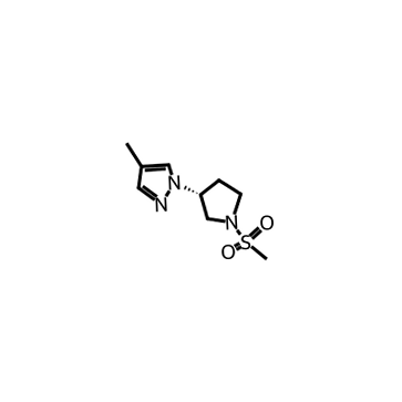 Cc1cnn([C@@H]2CCN(S(C)(=O)=O)C2)c1